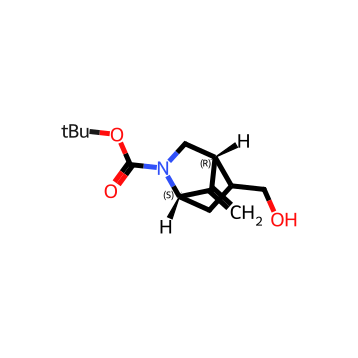 C=C1[C@@H]2CN(C(=O)OC(C)(C)C)[C@H]1CC2CO